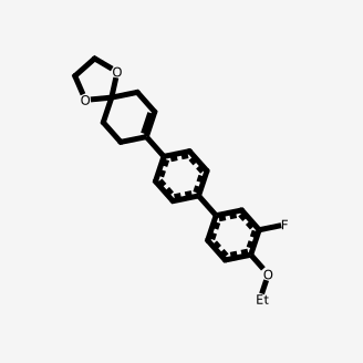 CCOc1ccc(-c2ccc(C3=CCC4(CC3)OCCO4)cc2)cc1F